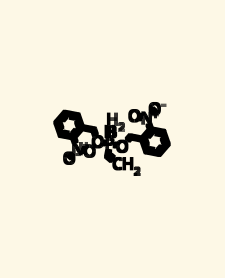 B[PH](C=C)(OCc1ccccc1[N+](=O)[O-])OCc1ccccc1[N+](=O)[O-]